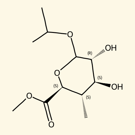 COC(=O)[C@H]1OC(OC(C)C)[C@H](O)[C@@H](O)[C@@H]1C